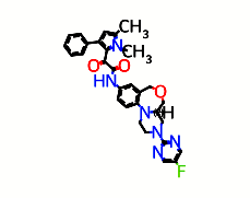 Cc1cc(-c2ccccc2)c(C(=O)C(=O)Nc2ccc3c(c2)COC[C@H]2CN(c4ncc(F)cn4)CCN32)n1C